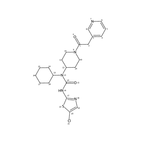 O=C(Cc1cccnc1)N1CCC(N(C(=O)Nc2ncc(Cl)s2)C2CCCCC2)CC1